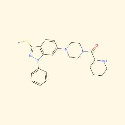 CSc1nn(-c2ccccc2)c2cc(N3CCN(C(=O)C4CCCCN4)CC3)ccc12